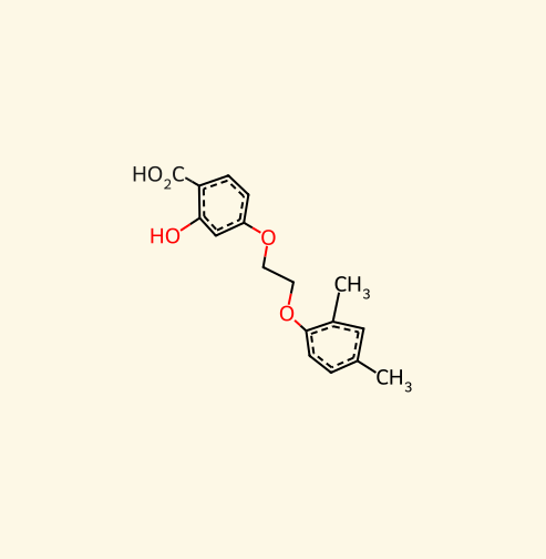 Cc1ccc(OCCOc2ccc(C(=O)O)c(O)c2)c(C)c1